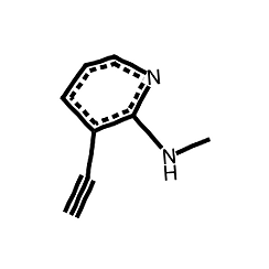 C#Cc1cccnc1NC